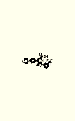 Cc1nn(-c2cccc(C(F)(F)F)c2)c2nc(C(=O)O)cc(-c3ccc(N4CCOCC4)cc3)c12